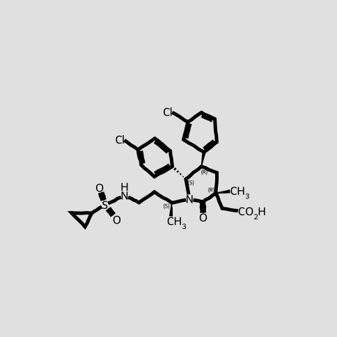 C[C@@H](CCNS(=O)(=O)C1CC1)N1C(=O)[C@@](C)(CC(=O)O)C[C@H](c2cccc(Cl)c2)[C@H]1c1ccc(Cl)cc1